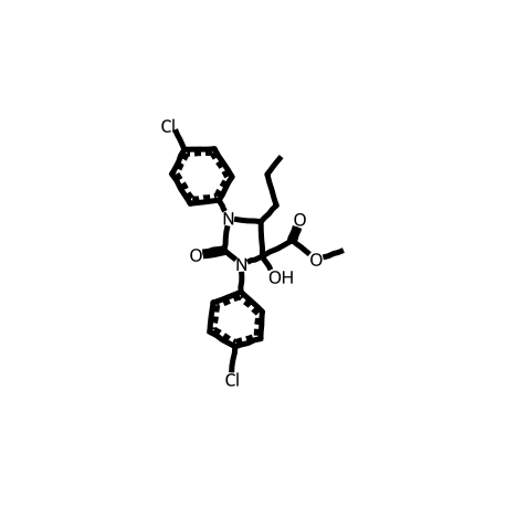 CCCC1N(c2ccc(Cl)cc2)C(=O)N(c2ccc(Cl)cc2)C1(O)C(=O)OC